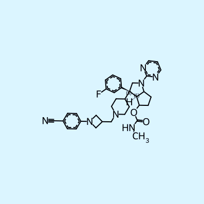 CNC(=O)OC1CCC2[C@@H]1[C@](c1cccc(F)c1)(C1CCN(CC3CN(c4ccc(C#N)cc4)C3)CC1)CN2c1ncccn1